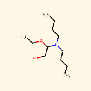 CCCCN(CCCC)C(CO)OCC